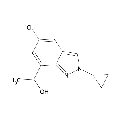 CC(O)c1cc(Cl)cc2cn(C3CC3)nc12